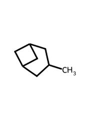 CC1CC2CC(C1)C2